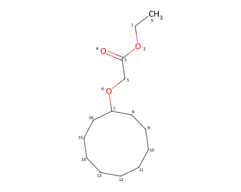 CCOC(=O)COC1CCCCCCCCC1